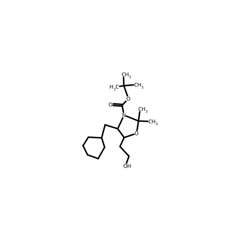 CC(C)(C)OC(=O)N1C(CC2CCCCC2)C(CCO)OC1(C)C